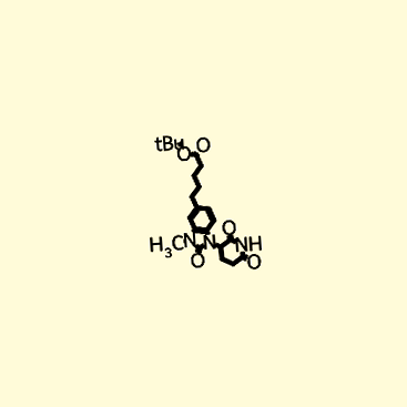 Cn1c(=O)n(C2CCC(=O)NC2=O)c2ccc(CCCCC(=O)OC(C)(C)C)cc21